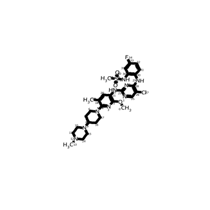 COc1nc(N2CCC(N3CCN(C)CC3)CC2)c(C)cc1Nc1ncc(Cl)c(Nc2ccc(F)cc2NS(C)(=O)=O)n1